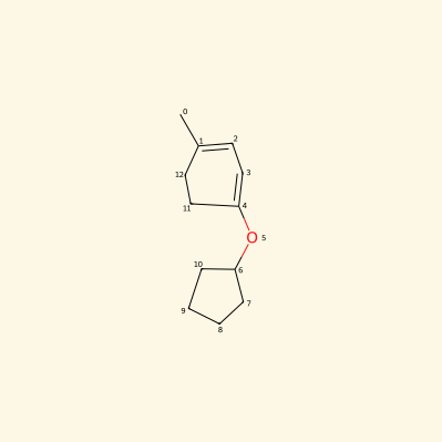 CC1=CC=C(OC2CCCC2)CC1